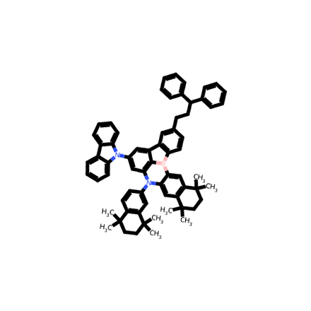 CC1(C)CCC(C)(C)c2cc(N3c4cc5c(cc4B4c6ccc(CCC(c7ccccc7)c7ccccc7)cc6-c6cc(-n7c8ccccc8c8ccccc87)cc3c64)C(C)(C)CCC5(C)C)ccc21